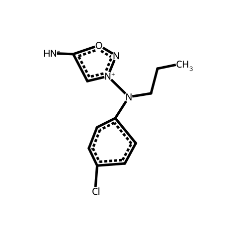 CCCN(c1ccc(Cl)cc1)[n+]1cc([NH-])on1